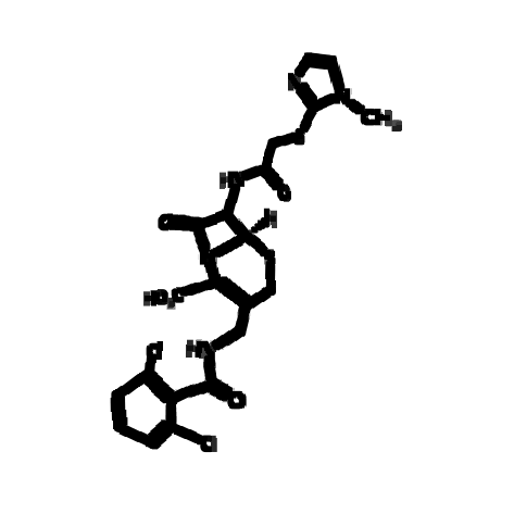 Cn1ccnc1SCC(=O)NC1C(=O)N2C(C(=O)O)=C(CNC(=O)c3c(Cl)cccc3Cl)CS[C@H]12